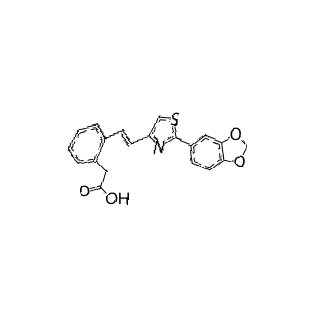 O=C(O)Cc1ccccc1C=Cc1csc(-c2ccc3c(c2)OCO3)n1